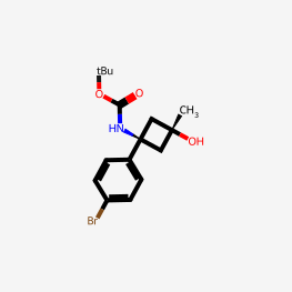 CC(C)(C)OC(=O)N[C@]1(c2ccc(Br)cc2)C[C@@](C)(O)C1